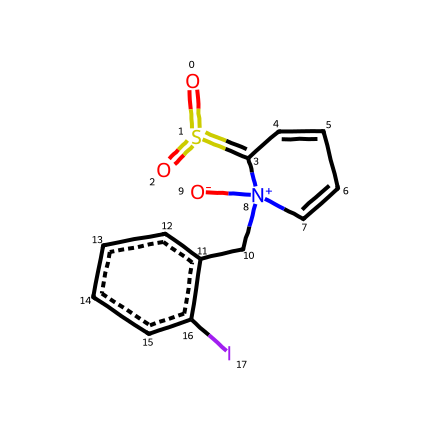 O=S(=O)=C1C=CC=C[N+]1([O-])Cc1ccccc1I